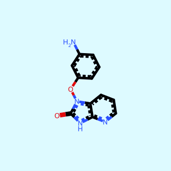 Nc1cccc(On2c(=O)[nH]c3ncccc32)c1